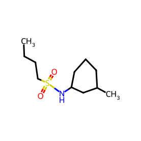 CCCCS(=O)(=O)NC1CCCC(C)C1